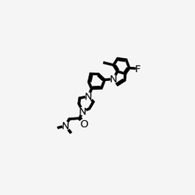 Cc1ccc(F)c2ccn(-c3cccc(N4CCN(C(=O)CN(C)C)CC4)c3)c12